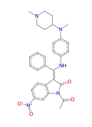 CC(=O)N1C(=O)/C(=C(\Nc2ccc(N(C)C3CCN(C)CC3)cc2)c2ccccc2)c2ccc([N+](=O)[O-])cc21